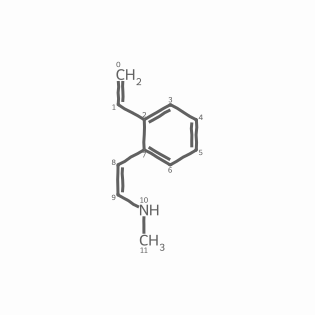 C=Cc1ccccc1/C=C\NC